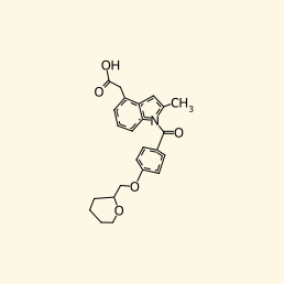 Cc1cc2c(CC(=O)O)cccc2n1C(=O)c1ccc(OCC2CCCCO2)cc1